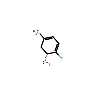 C[C@@H]1CC(C(F)(F)F)=CC=C1F